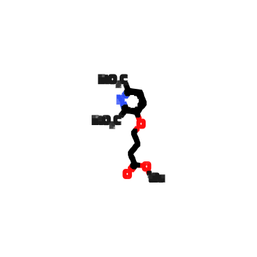 CCOC(=O)c1ccc(OCCCC(=O)OC(C)(C)C)c(C(=O)OCC)n1